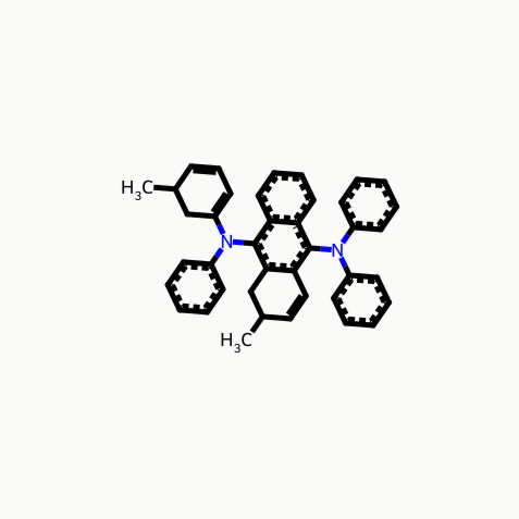 CC1C=CC=C(N(c2ccccc2)c2c3c(c(N(c4ccccc4)c4ccccc4)c4ccccc24)C=CC(C)C3)C1